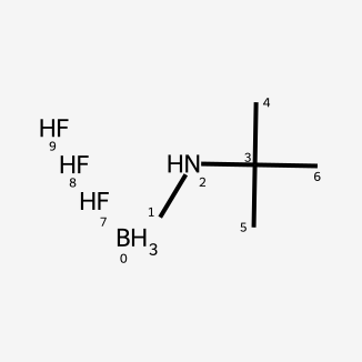 B.CNC(C)(C)C.F.F.F